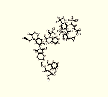 C#CCN1C(=O)COc2cc(F)c(N3C(=O)C4=C(CCCC4)C3=O)cc21.CC1COc2ccccc2N1C(=O)C(Cl)Cl.CCc1cccc(C)c1N(C(=O)CCl)C(C)COC.CS(=O)(=O)c1cc(C(F)(F)F)ccc1C(=O)c1cnoc1C1CC1.O=C(O)CNCP(=O)(O)O